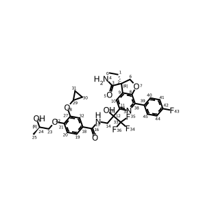 CC[C@]1(C(N)=O)COc2c1cc(C(O)(CNC(=O)c1ccc(OC[C@@H](C)O)c(OC3CC3)c1)C(F)(F)F)nc2-c1ccc(F)cc1